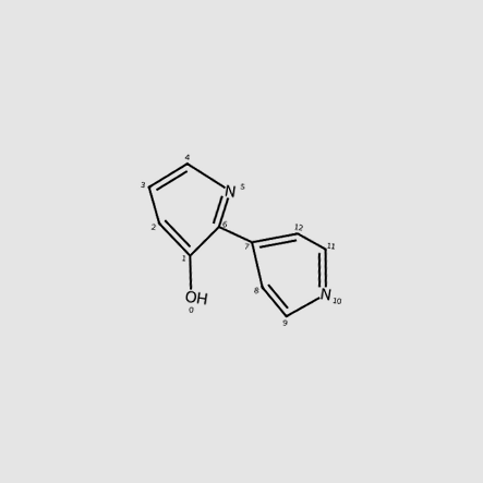 Oc1cccnc1-c1ccncc1